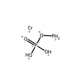 O=P(O)(O)OP.[Cr]